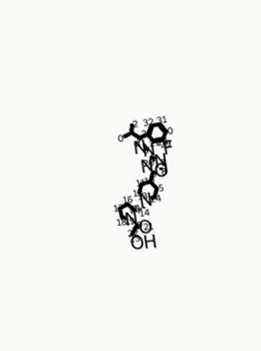 CC(C)c1nn(-c2noc(C3CCN(C[C@H]4CCCN4C(=O)CO)CC3)n2)c2c(F)cccc12